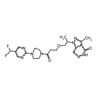 Cc1nn(C(C)COCCC(=O)N2CCN(c3ncc(C(F)F)cn3)CC2)c2cn[nH]c(=O)c12